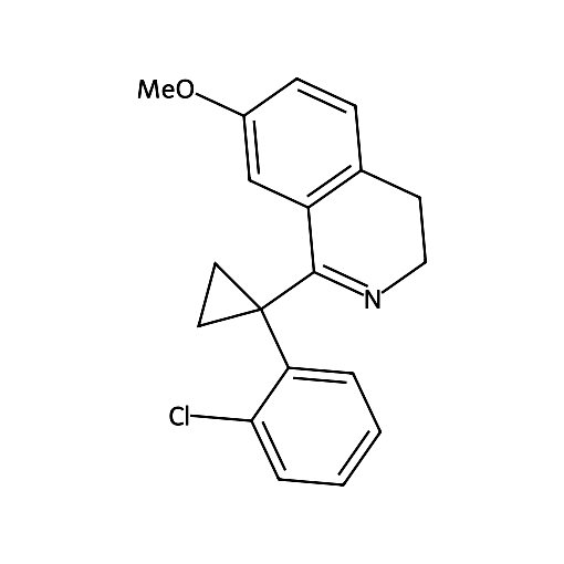 COc1ccc2c(c1)C(C1(c3ccccc3Cl)CC1)=NCC2